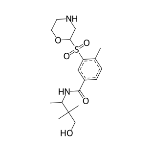 Cc1ccc(C(=O)NC(C)C(C)(C)CO)cc1S(=O)(=O)C1CNCCO1